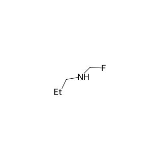 CCCNCF